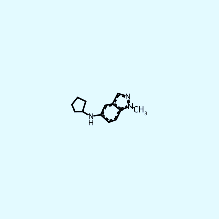 Cn1ncc2cc(NC3CCCC3)ccc21